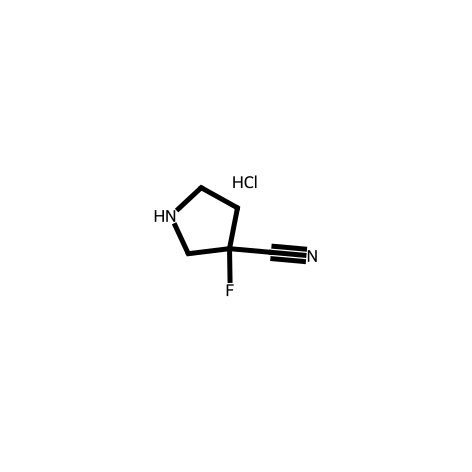 Cl.N#CC1(F)CCNC1